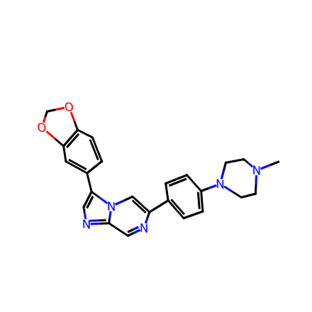 CN1CCN(c2ccc(-c3cn4c(-c5ccc6c(c5)OCO6)cnc4cn3)cc2)CC1